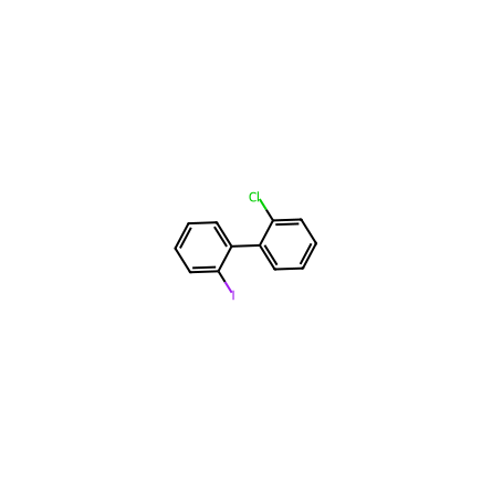 Clc1ccccc1-c1ccccc1I